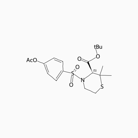 CC(=O)Oc1ccc(S(=O)(=O)N2CCSC(C)(C)[C@@H]2C(=O)OC(C)(C)C)cc1